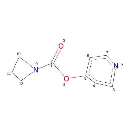 O=C(Oc1ccncc1)N1CCC1